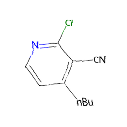 CCCCc1ccnc(Cl)c1C#N